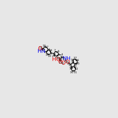 O=C(N[C@@H](Cc1ccc(-c2ccc3[nH]c(=O)ccc3c2)cc1)C(=O)O)OCC1c2ccccc2-c2ccccc21